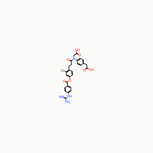 N=C(N)Nc1ccc(C(=O)Oc2ccc(CCC(=O)N(CC(=O)O)c3ccc(CC(=O)O)cc3)c(Cl)c2)cc1